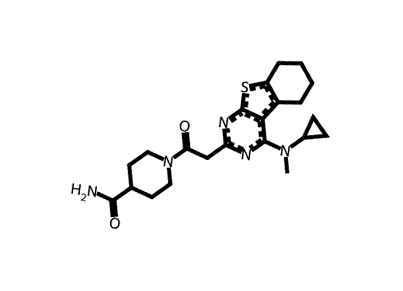 CN(c1nc(CC(=O)N2CCC(C(N)=O)CC2)nc2sc3c(c12)CCCC3)C1CC1